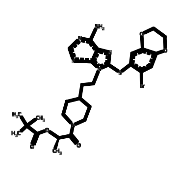 C[C@@H](OC(=O)C(C)(C)C)C(=O)N1CCC(CCn2c(Sc3cc4c(cc3Br)OCCO4)nc3c(N)ncnc32)CC1